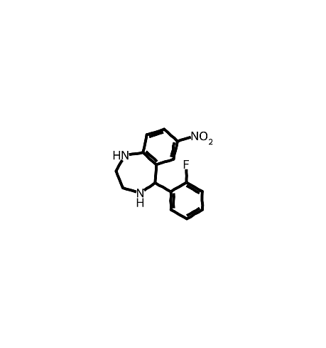 O=[N+]([O-])c1ccc2c(c1)C(c1ccccc1F)NCCN2